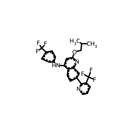 CC(C)COc1cc(Nc2ccc(C(F)(F)F)cc2)c2ccc(-c3ncccc3C(F)(F)F)cc2n1